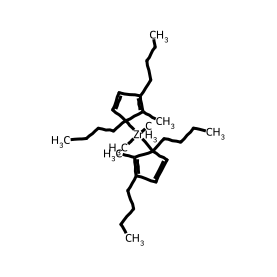 CCCCC1=C(C)[C](CCCC)([Zr]([CH3])([CH3])[C]2(CCCC)C=CC(CCCC)=C2C)C=C1